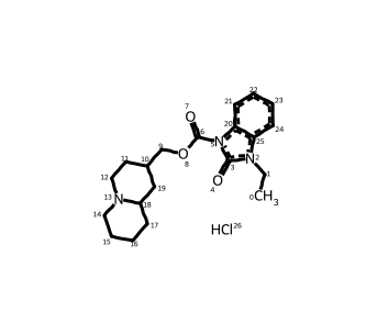 CCn1c(=O)n(C(=O)OCC2CCN3CCCCC3C2)c2ccccc21.Cl